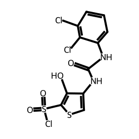 O=C(Nc1csc(S(=O)(=O)Cl)c1O)Nc1cccc(Cl)c1Cl